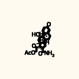 CC(=O)OCC(=O)[C@H]1[C@H](C(N)=O)C[C@H]2[C@@H]3CCC4=CC(=O)C=C[C@]4(C)[C@H]3[C@@H](O)C[C@@]21C